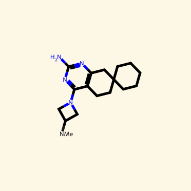 CNC1CN(c2nc(N)nc3c2CCC2(CCCCC2)C3)C1